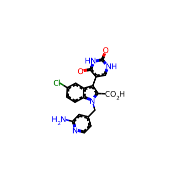 Nc1cc(Cn2c(C(=O)O)c(-c3c[nH]c(=O)[nH]c3=O)c3cc(Cl)ccc32)ccn1